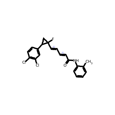 Cc1ccccc1NC(=O)/C=C/C=C/C1(F)CC1c1ccc(Cl)c(Cl)c1